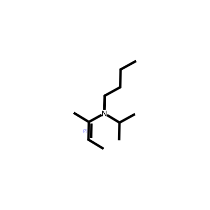 C/C=C(/C)N(CCCC)C(C)C